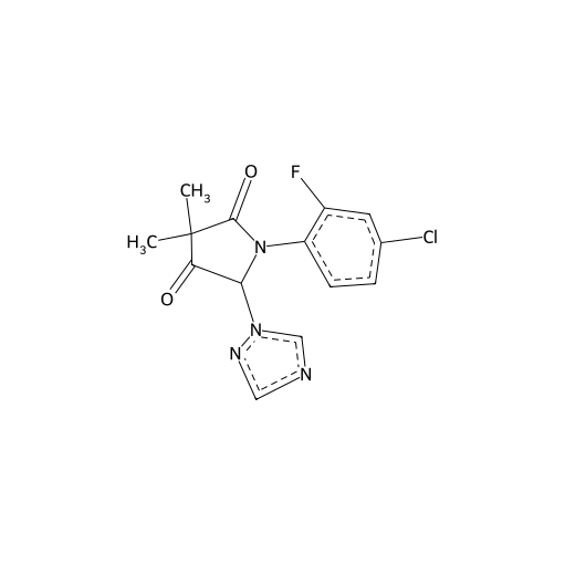 CC1(C)C(=O)C(n2cncn2)N(c2ccc(Cl)cc2F)C1=O